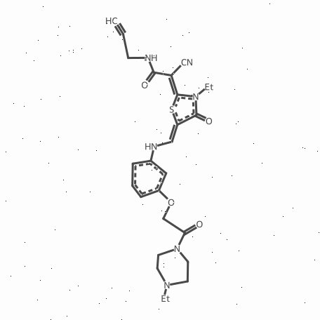 C#CCNC(=O)C(C#N)=c1sc(=CNc2cccc(OCC(=O)N3CCN(CC)CC3)c2)c(=O)n1CC